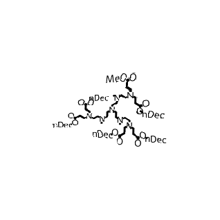 CCCCCCCCCCOC(=O)CCN(CCC(=O)OC)CCN(C)CCN(CCN(C)CCN(CCC(=O)OCCCCCCCCCC)CCC(=O)OCCCCCCCCCC)CCN(C)CCN(CCC(=O)OCCCCCCCCCC)CCC(=O)OCCCCCCCCCC